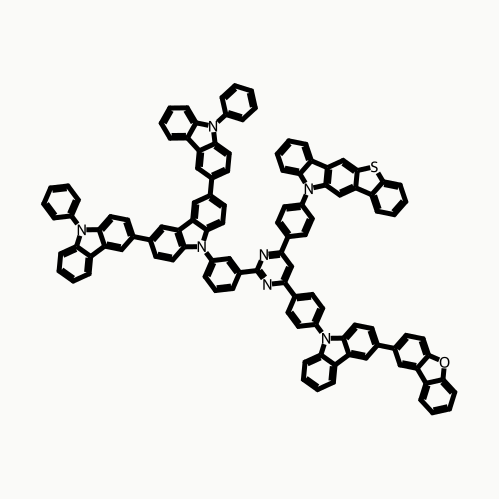 c1ccc(-n2c3ccccc3c3cc(-c4ccc5c(c4)c4cc(-c6ccc7c(c6)c6ccccc6n7-c6ccccc6)ccc4n5-c4cccc(-c5nc(-c6ccc(-n7c8ccccc8c8cc(-c9ccc%10oc%11ccccc%11c%10c9)ccc87)cc6)cc(-c6ccc(-n7c8ccccc8c8cc9sc%10ccccc%10c9cc87)cc6)n5)c4)ccc32)cc1